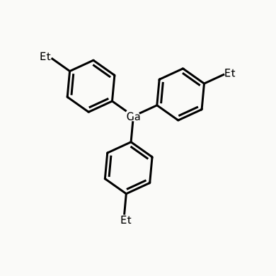 CCc1cc[c]([Ga]([c]2ccc(CC)cc2)[c]2ccc(CC)cc2)cc1